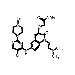 CCN1CCN(c2ncc(Cl)c(Nc3ccc4c(c3)cc(OCC(=O)NC)c(=O)n4CCN(C)C)n2)CC1